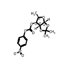 C[C@H]1O[C@@H]2OC(C)(C)O[C@@H]2[C@H]1OC(=O)Oc1ccc([N+](=O)[O-])cc1